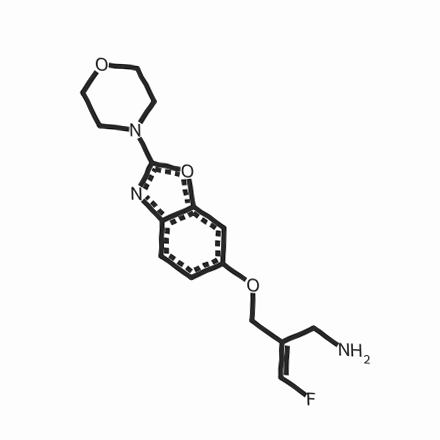 NC/C(=C\F)COc1ccc2nc(N3CCOCC3)oc2c1